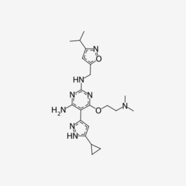 CC(C)c1cc(CNc2nc(N)c(-c3cc(C4CC4)[nH]n3)c(OCCN(C)C)n2)on1